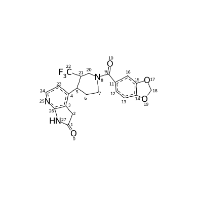 O=C1Cc2c(C3CCN(C(=O)c4ccc5c(c4)OCO5)CC3C(F)(F)F)ccnc2N1